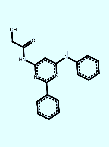 O=C(CO)Nc1cc(Nc2ccccc2)nc(-c2ccccc2)n1